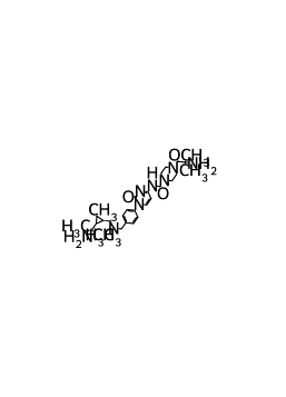 C[C@@H]1C(C(C)(C)N)[C@@H]1CN(C)Cc1ccc(-n2ccc(NC(=O)N3CCN(C(=O)C(C)(C)N)CC3)nc2=O)cc1